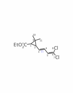 CCOC(=O)C1C(/C=C/C=C(Cl)Cl)C1(C)C